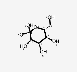 [O][C@@]1(O)O[C@H](CO)[C@@H](O)[C@@H](O)[C@H]1O